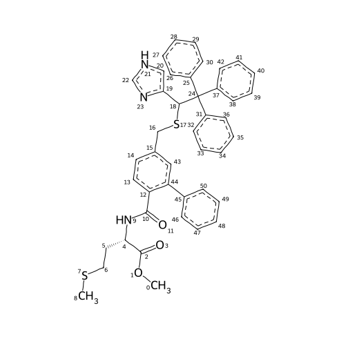 COC(=O)[C@H](CCSC)NC(=O)c1ccc(CSC(c2c[nH]cn2)C(c2ccccc2)(c2ccccc2)c2ccccc2)cc1-c1ccccc1